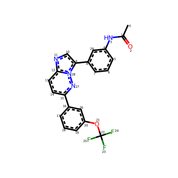 CC(=O)Nc1cccc(-c2cnc3ccc(-c4cccc(OC(F)(F)F)c4)nn23)c1